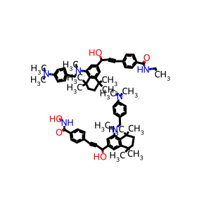 CCNC(=O)c1ccc(C#CC(O)c2cc(N(C)Cc3ccc(N(C)C)cc3)c3c(c2)C(C)(C)CCC3(C)C)cc1.CN(C)c1ccc(CN(C)c2cc(C(O)C#Cc3ccc(C(=O)NO)cc3)cc3c2C(C)(C)CCC3(C)C)cc1